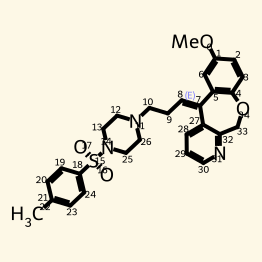 COc1ccc2c(c1)/C(=C/CCN1CCN(S(=O)(=O)c3ccc(C)cc3)CC1)c1cccnc1CO2